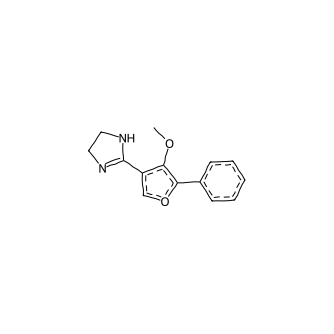 COc1c(C2=NCCN2)coc1-c1ccccc1